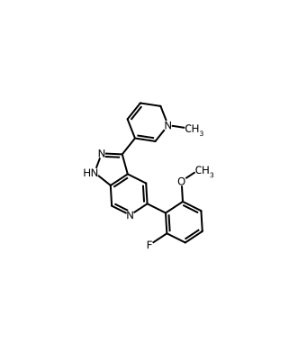 COc1cccc(F)c1-c1cc2c(C3=CN(C)CC=C3)n[nH]c2cn1